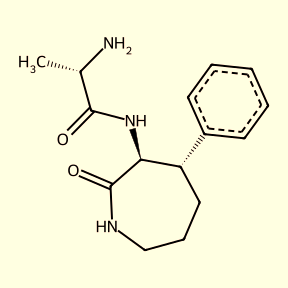 C[C@H](N)C(=O)N[C@@H]1C(=O)NCCC[C@H]1c1ccccc1